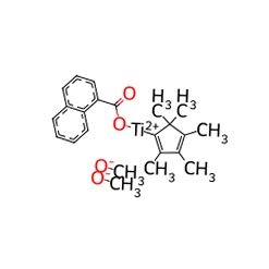 CC1=C(C)C(C)(C)[C]([Ti+2][O]C(=O)c2cccc3ccccc23)=C1C.C[O-].C[O-]